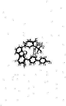 BC(B)(c1cc(-c2cccc3c2oc2c(-c4ccc(-c5ccc(C)cc5)cc4)c(F)ccc23)ncc1F)C(C)(C)C